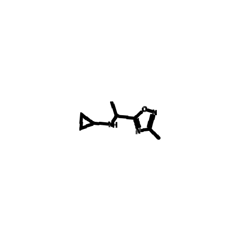 Cc1noc(C(C)NC2CC2)n1